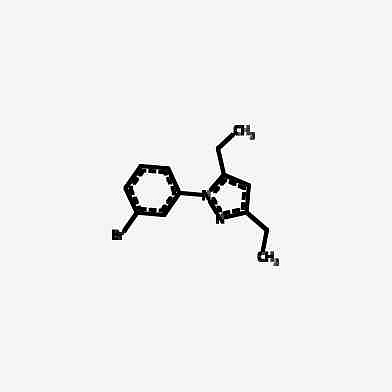 CCc1cc(CC)n(-c2cccc(Br)c2)n1